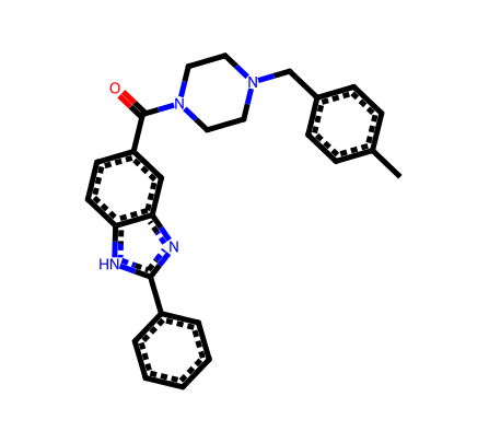 Cc1ccc(CN2CCN(C(=O)c3ccc4[nH]c(-c5ccccc5)nc4c3)CC2)cc1